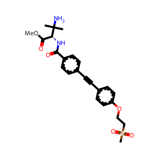 COC(=O)[C@@H](NC(=O)c1ccc(C#Cc2ccc(OCCS(C)(=O)=O)cc2)cc1)C(C)(C)N